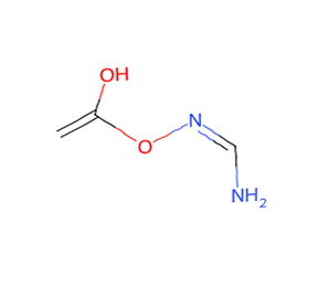 C=C(O)O/N=C\N